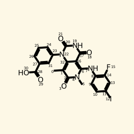 Cc1c(=O)n(C)c(Nc2ccc(I)cc2F)c2c(=O)[nH]c(=O)n(-c3cccc(C(=O)O)c3)c12